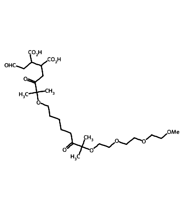 COCCOCCOCCOC(C)(C)C(=O)CCCCCOC(C)(C)C(=O)CC(C(=O)O)C(CC=O)C(=O)O